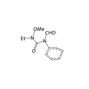 CCN(OC)C(=O)N([C]=O)c1ccccc1